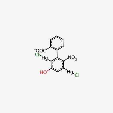 O=C([O-])c1ccccc1-c1[c]([Hg][Cl])c(O)c[c]([Hg][Cl])c1[N+](=O)[O-]